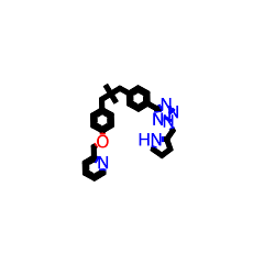 CC(C)(Cc1ccc(OCc2ccccn2)cc1)Cc1ccc(-c2nnn(CC3CCCN3)n2)cc1